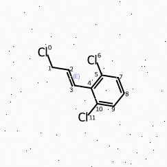 ClC/C=C/c1c(Cl)cccc1Cl